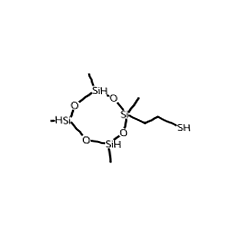 C[SiH]1O[SiH](C)O[Si](C)(CCS)O[SiH](C)O1